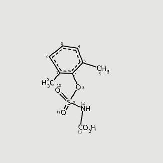 Cc1cccc(C)c1OS(=O)(=O)NC(=O)O